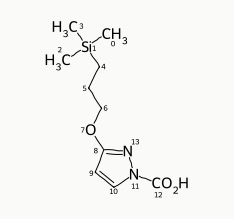 C[Si](C)(C)CCCOc1ccn(C(=O)O)n1